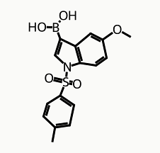 COc1ccc2c(c1)c(B(O)O)cn2S(=O)(=O)c1ccc(C)cc1